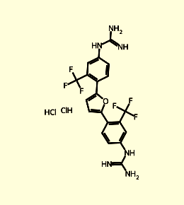 Cl.Cl.N=C(N)Nc1ccc(-c2ccc(-c3ccc(NC(=N)N)cc3C(F)(F)F)o2)c(C(F)(F)F)c1